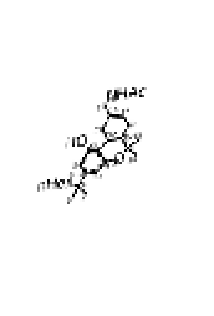 CCCCCCC(C)(C)c1cc(O)c2c(c1)OC(C)(C)C1CC=C(CNC(C)=O)CC21